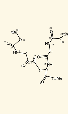 COC(=O)C(CNC(=O)CNC(=O)OC(C)(C)C)NC(=O)CNC(=O)OC(C)(C)C